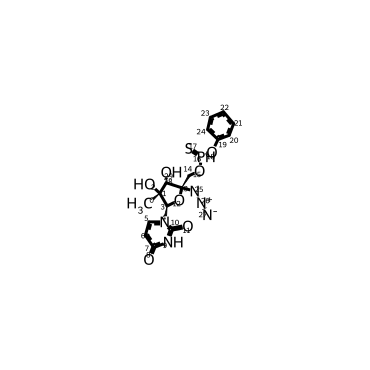 C[C@]1(O)[C@H](n2ccc(=O)[nH]c2=O)O[C@@](CO[PH](=S)Oc2ccccc2)(N=[N+]=[N-])[C@H]1O